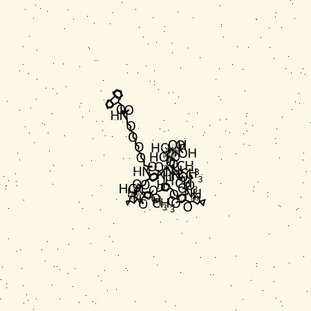 C=CCOC(=O)N1C[C@@H]2CC3(CC3)CC2C(=O)c2cc(OC)c(OCc3cccc(COc4cc5c(cc4OC)C(=O)N4CC6(CC6)C[C@H]4[C@H](O)N5C(=O)OCc4ccc(NC(=O)[C@H](CO[C@@H]5O[C@H](C(=O)O)[C@@H](O)[C@H](O)[C@H]5O)NC(=O)[C@@H](NC(C)=O)C(C)C)cc4NC(=O)CCOCCOCCOCCOCCNC(=O)OCC4c5ccccc5-c5ccccc54)c3)cc21